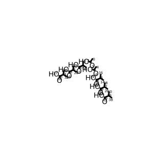 CC(=O)O.CC(=O)O.CC(C)C(=O)O.CC(C)C(=O)O.CC(C)C(=O)O.CC(C)C(=O)O.CC(C)C(=O)O.CC(C)C(=O)O